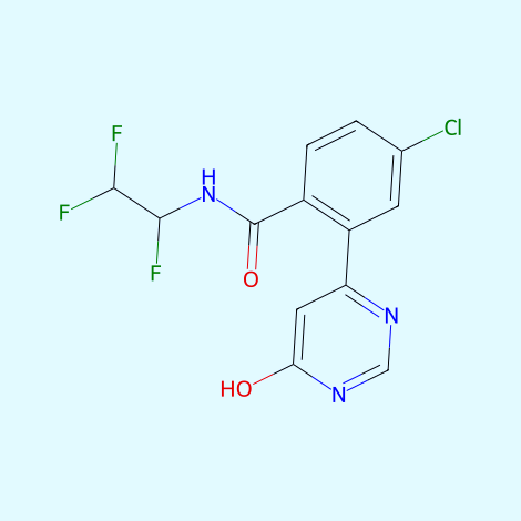 O=C(NC(F)C(F)F)c1ccc(Cl)cc1-c1cc(O)ncn1